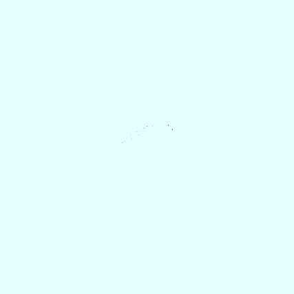 Cc1ccc2c(c1)C1(c3ccccc3Oc3ccccc31)c1ccccc1N2C1CC(I)C1